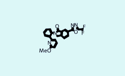 COc1cccc(-c2ccccc2N2Cc3ccc(-c4nnc(C(F)F)o4)cc3C2=O)n1